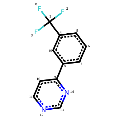 FC(F)(F)c1cccc(-c2c[c]ncn2)c1